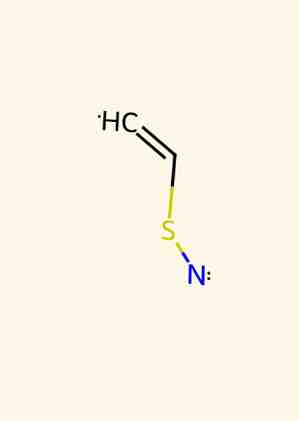 [CH]=CS[N]